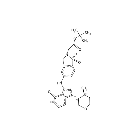 C[C@H]1CCOC[C@@H]1n1nc(Nc2ccc3c(c2)CN(CC(=O)OC(C)(C)C)S3(=O)=O)c2c(=O)[nH]ccc21